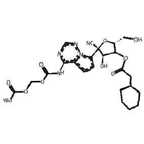 CC(C)(C)C(=O)OCOC(=O)Nc1ncnn2c([C@]3(C#N)O[C@H](CO)C(OC(=O)CC4CCCCC4)[C@H]3O)ccc12